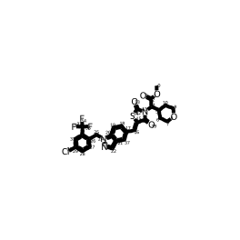 COC(=O)C(C1CCOCC1)N1C(=O)S/C(=C\c2ccc3c(cnn3Cc3ccc(Cl)cc3C(F)(F)F)c2)C1=O